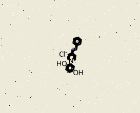 Oc1ccc(O)c(-[n+]2ccc(/C=C/c3ccccc3)cc2)c1.[Cl-]